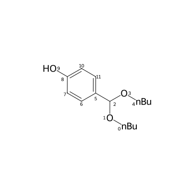 CCCCOC(OCCCC)c1ccc(O)cc1